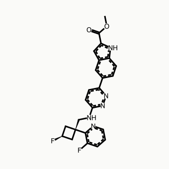 COC(=O)c1cc2cc(-c3ccc(NC[C@]4(c5ncccc5F)C[C@H](F)C4)nn3)ccc2[nH]1